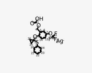 O=C(O)OCc1cc(OC(F)(F)F)ccc1OC1(Sc2ccccc2)CC1.[Ag]